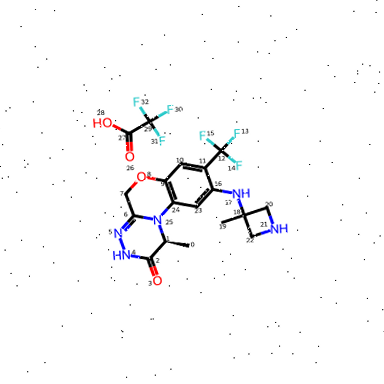 C[C@H]1C(=O)NN=C2COc3cc(C(F)(F)F)c(NC4(C)CNC4)cc3N21.O=C(O)C(F)(F)F